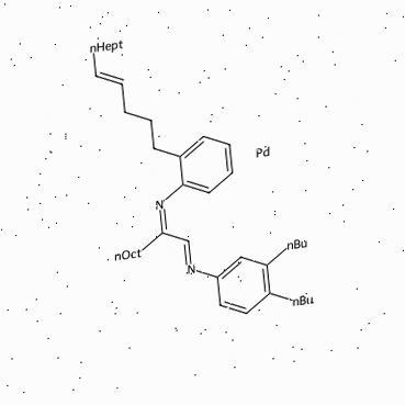 CCCCCCCC=CCCCc1ccccc1N=C(C=Nc1ccc(CCCC)c(CCCC)c1)CCCCCCCC.[Pd]